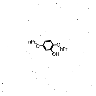 CCCOc1ccc(OCCC)c(O)c1